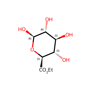 CCOC(=O)[C@H]1O[C@@H](O)[C@H](O)[C@@H](O)[C@@H]1O